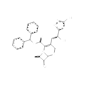 Cc1nnc(C(S)=CC2=C(C(=O)OC(c3ccccc3)c3ccccc3)N3C(=O)C(N)C3SC2)s1